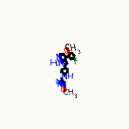 COCn1cc(CNC2CCC(c3cc4c(-c5cc(F)ccc5OC)ccnc4[nH]3)CC2)nn1